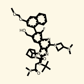 COCOc1cc(-c2c(CO)cc3c(nc(N4CC(N(C)C)C4)c4nc(CCC(=O)N(C)C)n(C5C6CC5N(C(=O)OC(C)(C)C)C6)c43)c2F)c2ccccc2c1